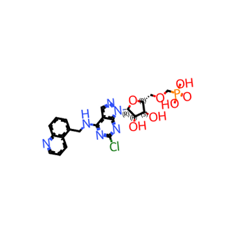 O=P(O)(O)COC[C@H]1O[C@@H](n2ncc3c(NCc4cccc5ncccc45)nc(Cl)nc32)[C@H](O)[C@@H]1O